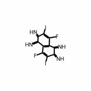 N=c1c(I)c(F)c2c(=N)c(=N)c(I)c(F)c=2c1=N